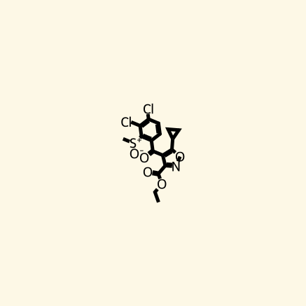 CCOC(=O)c1noc(C2CC2)c1C(=O)c1ccc(Cl)c(Cl)c1[S+](C)[O-]